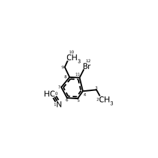 C#N.CCc1cccc(CC)c1Br